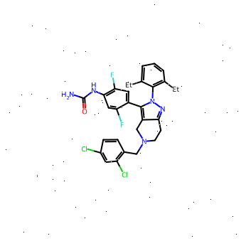 CCc1cccc(CC)c1-n1nc2c(c1-c1cc(F)c(NC(N)=O)cc1F)CN(Cc1ccc(Cl)cc1Cl)CC2